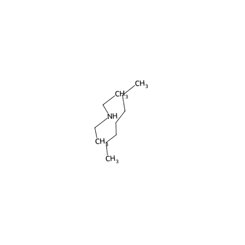 CCCCCCC.CCNCC